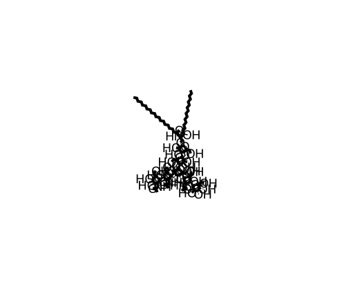 CCCCCCCCCCCCC/C=C/[C@@H](O)[C@H](CO[C@@H]1OC(CO)[C@@H](O[C@@H]2OC(CO)[C@H](O[C@@H]3OC(CO)[C@H](O[C@@H]4OC(CO)[C@H](O)[C@H](O[C@@H]5OC(CO)[C@H](O)[C@H](O)C5O)C4NC(C)=O)[C@H](O[C@@H]4OC(CO)[C@H](O)[C@H](O[C@H]5OC(CO)[C@H](O)[C@H](O)C5NC(C)=O)C4NC(C)=O)C3O)[C@H](O)C2O)[C@H](O)C1O)NC(=O)CCCCCCCCCCCCCCCCCCC